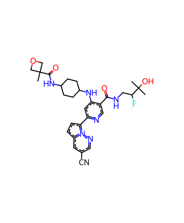 CC1(C(=O)NC2CCC(Nc3cc(-c4ccc5cc(C#N)cnn45)ncc3C(=O)NCC(F)C(C)(C)O)CC2)COC1